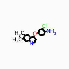 Cc1cc2nccc(Oc3ccc(N)c(Cl)c3)c2cc1C